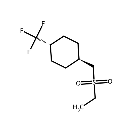 CCS(=O)(=O)C[C@H]1CC[C@H](C(F)(F)F)CC1